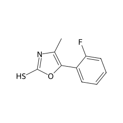 Cc1nc(S)oc1-c1ccccc1F